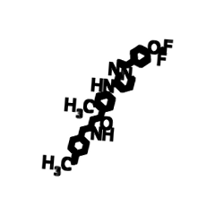 CC=C1CCC(CC(=N)CC(=O)c2ccc(Nc3cccn4c(-c5ccc(OC(F)F)cc5)cnc34)cc2C)CC1